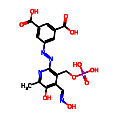 Cc1nc(N=Nc2cc(C(=O)O)cc(C(=O)O)c2)c(COP(=O)(O)O)c(C=NO)c1O